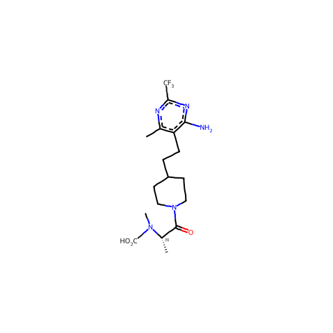 Cc1nc(C(F)(F)F)nc(N)c1CCC1CCN(C(=O)[C@H](C)N(C)C(=O)O)CC1